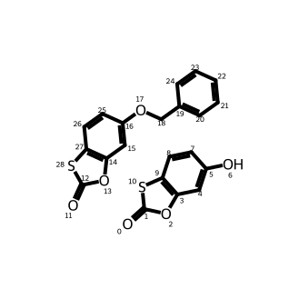 O=c1oc2cc(O)ccc2s1.O=c1oc2cc(OCc3ccccc3)ccc2s1